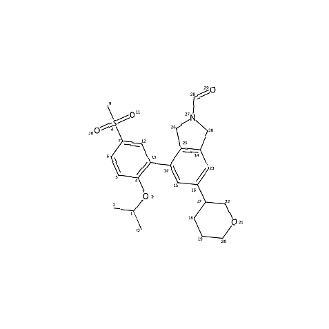 CC(C)Oc1ccc(S(C)(=O)=O)cc1-c1cc(C2CCCOC2)cc2c1CN(C=O)C2